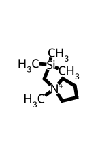 C[N+]1(C[Si](C)(C)C)CCCC1